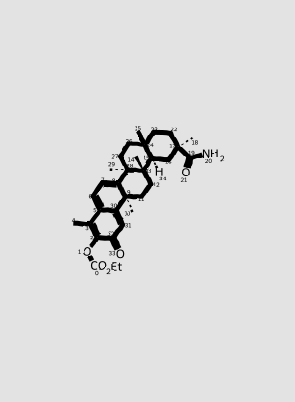 CCOC(=O)OC1=C(C)C2=CC=C3[C@@](C)(CC[C@@]4(C)[C@@H]5C[C@](C)(C(N)=O)CCC5(C)CC[C@]34C)C2=CC1=O